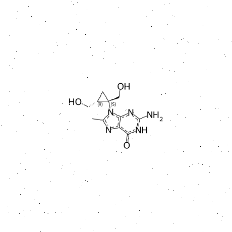 Cc1nc2c(=O)[nH]c(N)nc2n1[C@@]1(CO)C[C@H]1CO